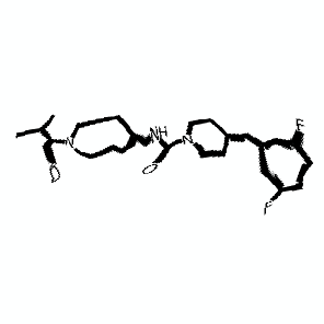 CC(C)C(=O)N1CCC(NC(=O)N2CCC(=Cc3cc(F)ccc3F)CC2)CC1